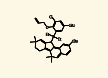 C=CCOc1c(Cl)cc(C(C)(C)C)cc1[Si](CC)(CC)C1C2=CC(C)(C)CCC2=C2C1=c1cc(C(C)(C)C)ccc1=CC2(C)C